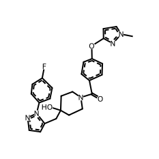 Cn1ccc(Oc2ccc(C(=O)N3CCC(O)(Cc4ccnn4-c4ccc(F)cc4)CC3)cc2)n1